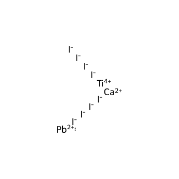 [Ca+2].[I-].[I-].[I-].[I-].[I-].[I-].[I-].[I-].[Pb+2].[Ti+4]